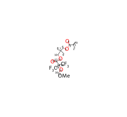 C=C(C)C(=O)OCC(C)(C)COC(=O)C(OCOC)(C(F)(F)F)C(F)(F)F